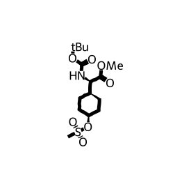 COC(=O)[C@H](NC(=O)OC(C)(C)C)[C@H]1CC[C@@H](OS(C)(=O)=O)CC1